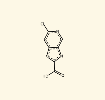 O=C(O)c1nc2cnc(Cl)cc2s1